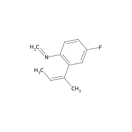 C=Nc1ccc(F)cc1/C(C)=C\C